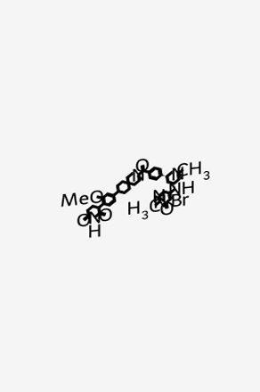 COc1cc(C2CCC3(CC2)CCN(C(=O)c2ccc([C@H]4C[C@@H](Nc5cnn(C)c(=O)c5Br)CN(C)C4)cc2)CC3)ccc1C1CCC(=O)NC1=O